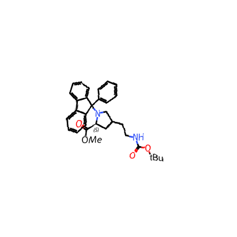 COC(=O)[C@@H]1CC(CCNC(=O)OC(C)(C)C)CN1C1(c2ccccc2)c2ccccc2-c2ccccc21